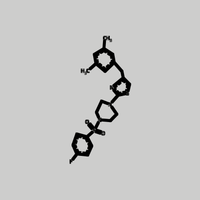 Cc1cc(C)cc(Cc2csc(N3CCN(S(=O)(=O)c4ccc(F)cc4)CC3)n2)c1